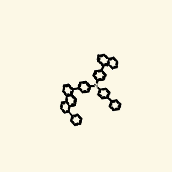 c1ccc(-c2ccc(N(c3ccc(-c4cccc5ccccc45)cc3)c3ccc(-c4cccc5c4ccc4c(-c6ccccc6)cccc45)cc3)cc2)cc1